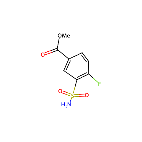 COC(=O)c1ccc(F)c(S(N)(=O)=O)c1